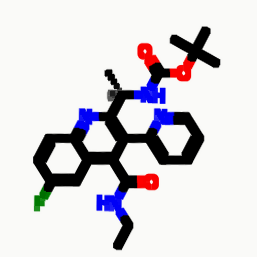 CCNC(=O)c1c(-c2ccccn2)c([C@H](C)NC(=O)OC(C)(C)C)nc2ccc(F)cc12